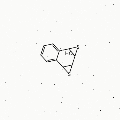 OC12SC1c1ccccc1C1SC12